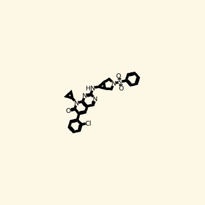 O=c1c(-c2ccccc2Cl)cc2cnc(NC3C4CN(S(=O)(=O)c5ccccc5)CC43)nc2n1C1CC1